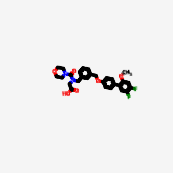 COc1cc(F)c(F)cc1-c1ccc(OCc2cccc(CN(CC(=O)O)C(=O)N3CCOCC3)c2)cc1